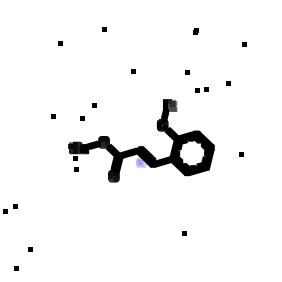 CCOc1ccccc1/C=C/C(=O)OC(C)(C)C